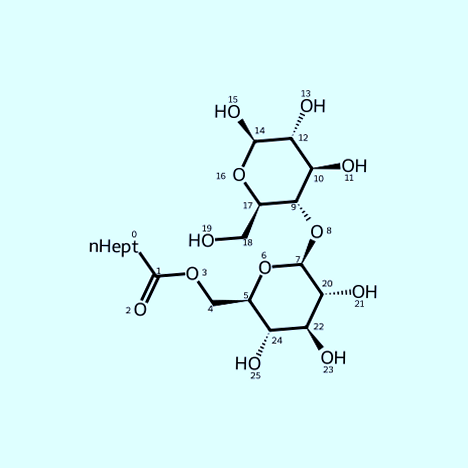 CCCCCCCC(=O)OC[C@H]1O[C@@H](O[C@H]2[C@H](O)[C@@H](O)[C@H](O)O[C@@H]2CO)[C@H](O)[C@@H](O)[C@@H]1O